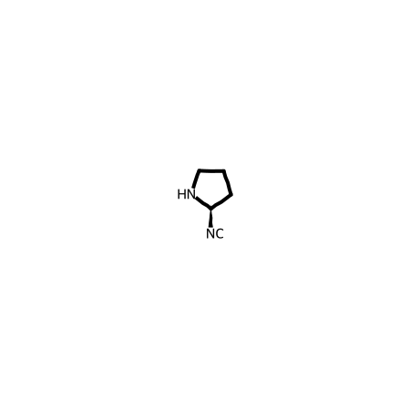 [C-]#[N+][C@@H]1CCCN1